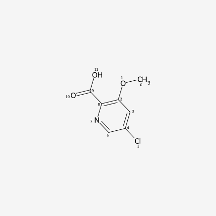 COc1cc(Cl)cnc1C(=O)O